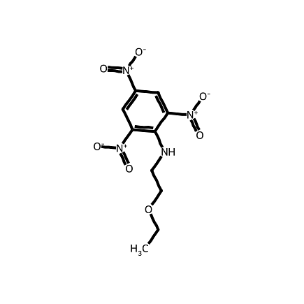 CCOCCNc1c([N+](=O)[O-])cc([N+](=O)[O-])cc1[N+](=O)[O-]